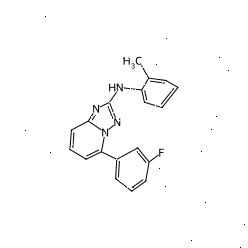 Cc1ccccc1Nc1nc2cccc(-c3cccc(F)c3)n2n1